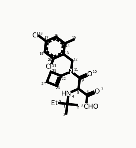 CCC(C)(C)NC(C(=O)C=O)C(=O)N(Cc1c(C)cc(Cl)cc1Cl)C1=CCC1